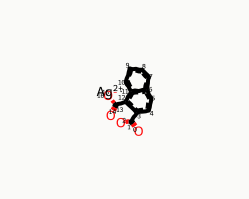 O=C([O-])c1ccc2ccccc2c1C(=O)[O-].[Ag+2]